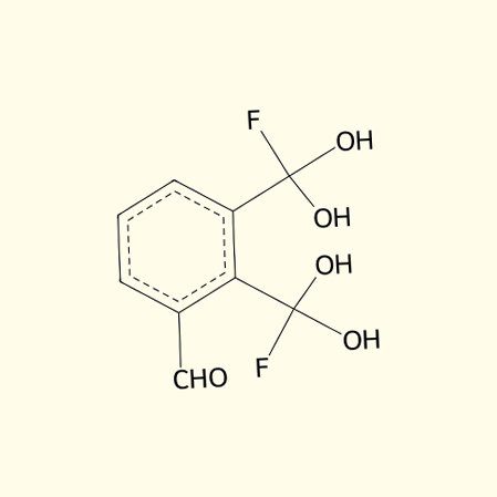 O=Cc1cccc(C(O)(O)F)c1C(O)(O)F